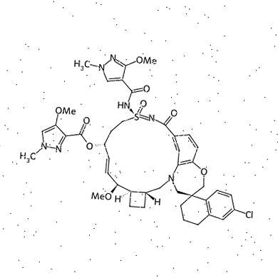 COc1cn(C)nc1C(=O)O[C@H]1/C=C/[C@H](OC)[C@@H]2CC[C@H]2CN2C[C@@]3(CCCc4cc(Cl)ccc43)COc3ccc(cc32)C(=O)N=[S@](=O)(NC(=O)c2cn(C)nc2OC)CC1